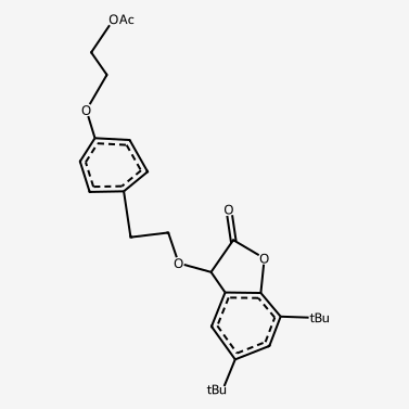 CC(=O)OCCOc1ccc(CCOC2C(=O)Oc3c2cc(C(C)(C)C)cc3C(C)(C)C)cc1